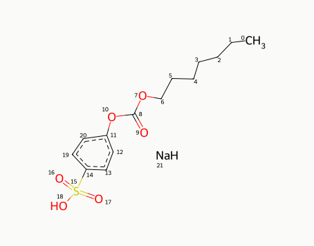 CCCCCCCOC(=O)Oc1ccc(S(=O)(=O)O)cc1.[NaH]